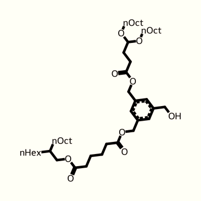 CCCCCCCCOC(CCC(=O)OCc1cc(CO)cc(COC(=O)CCCCC(=O)OCC(CCCCCC)CCCCCCCC)c1)OCCCCCCCC